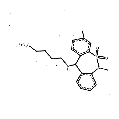 CCOC(=O)CCCCNC1c2ccccc2N(C)S(=O)(=O)c2cc(I)ccc21